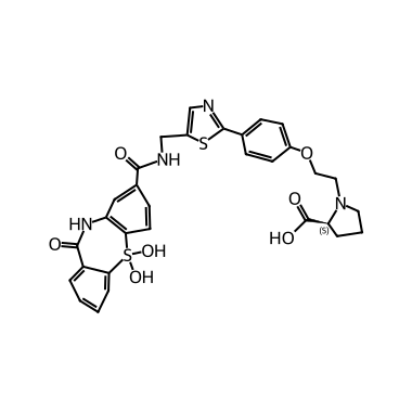 O=C(NCc1cnc(-c2ccc(OCCN3CCC[C@H]3C(=O)O)cc2)s1)c1ccc2c(c1)NC(=O)c1ccccc1S2(O)O